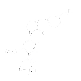 COc1cc(N2CCN(Cc3cccc(C(F)(F)F)c3)C2=O)ccc1/C(C=N)=C/N